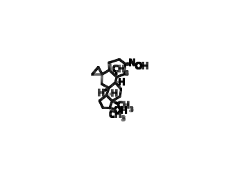 C[C@]12CC(=NO)CC=C1C1(CC1)C[C@@H]1[C@@H]2CC[C@@]2(C)[C@H]1CC[C@]2(C)O